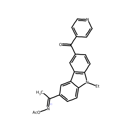 CCn1c2ccc(C(=O)c3ccncc3)cc2c2cc(/C(C)=N/OC(C)=O)ccc21